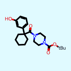 CC(C)(C)OC(=O)N1CCN(C(=O)C2(c3cccc(O)c3)CCCCC2)CC1